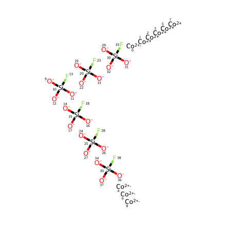 [Co+2].[Co+2].[Co+2].[Co+2].[Co+2].[Co+2].[Co+2].[Co+2].[Co+2].[O-][Si]([O-])([O-])F.[O-][Si]([O-])([O-])F.[O-][Si]([O-])([O-])F.[O-][Si]([O-])([O-])F.[O-][Si]([O-])([O-])F.[O-][Si]([O-])([O-])F